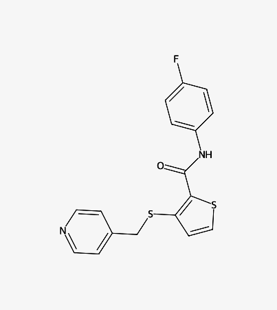 O=C(Nc1ccc(F)cc1)c1sccc1SCc1ccncc1